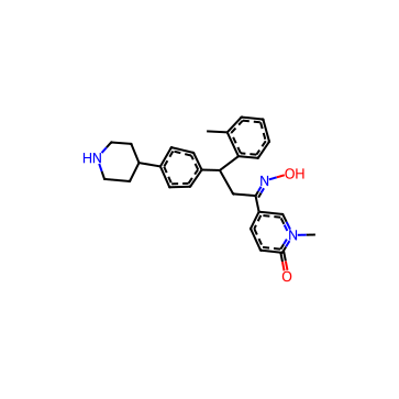 Cc1ccccc1C(C/C(=N/O)c1ccc(=O)n(C)c1)c1ccc(C2CCNCC2)cc1